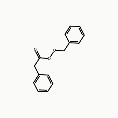 O=C(Cc1ccccc1)OOCc1ccccc1